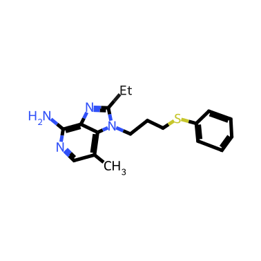 CCc1nc2c(N)ncc(C)c2n1CCCSc1ccccc1